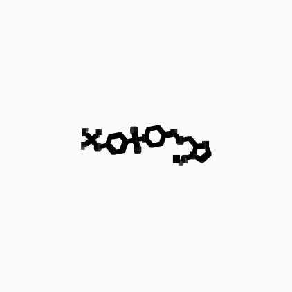 Cn1ccnc1CON=C1CCN(S(=O)(=O)c2ccc(OC(F)(F)F)cc2)CC1